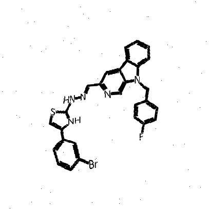 Fc1ccc(Cn2c3ccccc3c3cc(/C=N/NC4NC(c5cccc(Br)c5)=CS4)ncc32)cc1